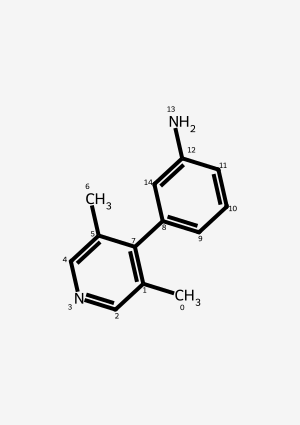 Cc1cncc(C)c1-c1cccc(N)c1